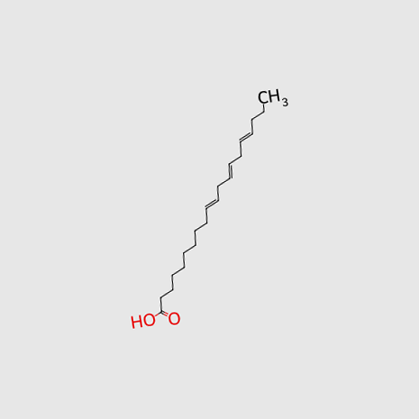 CCCC=CCC=CCC=CCCCCCCCCC(=O)O